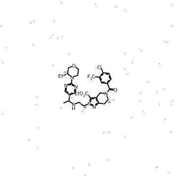 CCOC(=O)c1c2c(nn1[C@H](C)CNC(C)c1cnc(N3CCOC[C@@H]3CC)nc1)C[C@@H](C)N(C(=O)c1ccc(Cl)c(C(F)(F)F)c1)C2